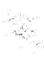 CC(CCOC(CC(=O)O)(C(=O)O)C(CCC(C)CC(C)(C)C)(CCC(C)CC(C)(C)C)C(=O)O)CC(C)(C)C